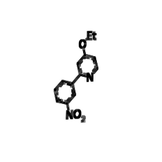 CCOc1ccnc(-c2cccc([N+](=O)[O-])c2)c1